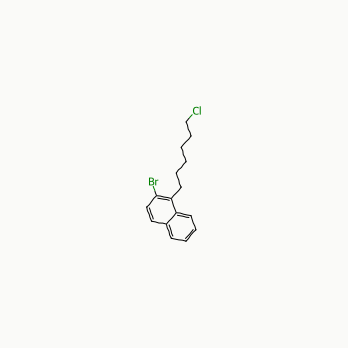 ClCCCCCCc1c(Br)ccc2ccccc12